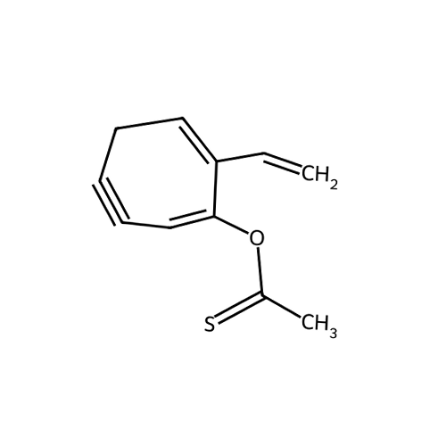 C=CC1=CCC#CC=C1OC(C)=S